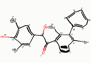 CC(C)(C)c1cc(C(O)C(=O)c2ccc(C(C)(C)C)c(-c3ccccc3)c2C(C)(C)C)cc(C(C)(C)C)c1O